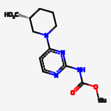 CC(C)(C)OC(=O)Nc1nccc(N2CCC[C@@H](C(=O)O)C2)n1